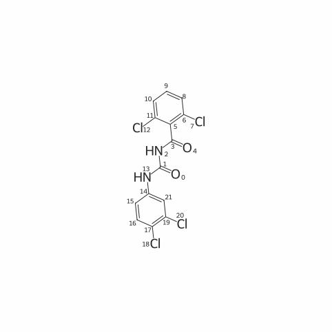 O=C(NC(=O)c1c(Cl)cccc1Cl)Nc1ccc(Cl)c(Cl)c1